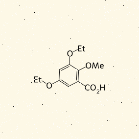 CCOc1cc(OCC)c(OC)c(C(=O)O)c1